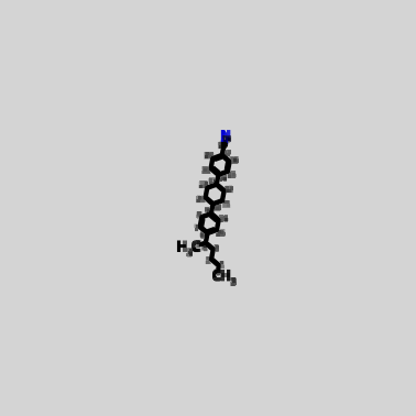 CCCCC(C)c1ccc(C2CCC(c3ccc(C#N)cc3)CC2)cc1